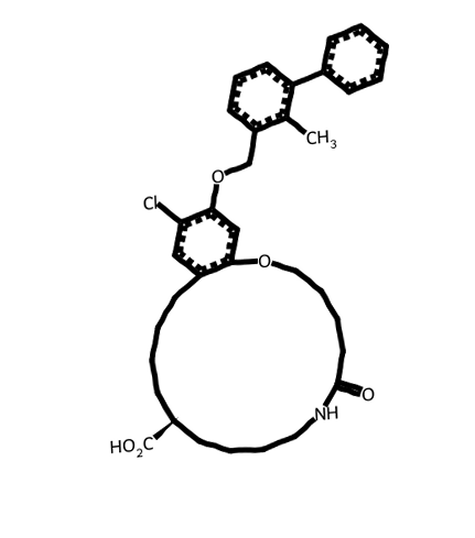 Cc1c(COc2cc3c(cc2Cl)CCCC[C@H](C(=O)O)CCCCNC(=O)CCCCO3)cccc1-c1ccccc1